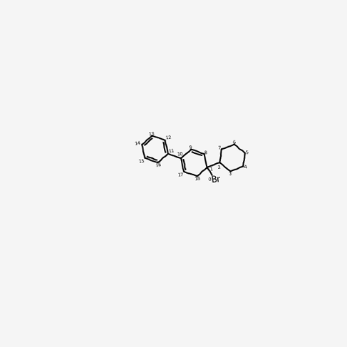 BrC1(C2CCCCC2)C=CC(c2ccccc2)=CC1